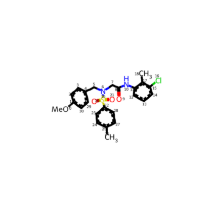 COc1ccc(CN(CC(=O)Nc2cccc(Cl)c2C)S(=O)(=O)c2ccc(C)cc2)cc1